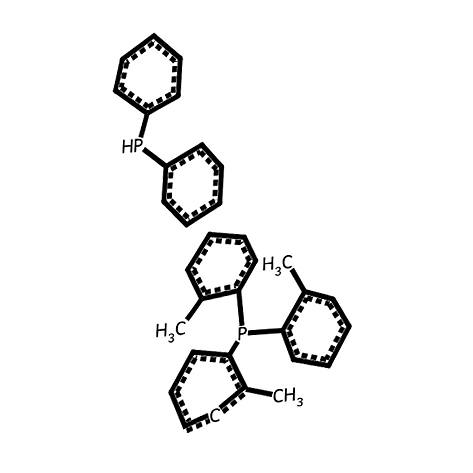 Cc1ccccc1P(c1ccccc1C)c1ccccc1C.c1ccc(Pc2ccccc2)cc1